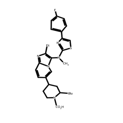 CCc1nc2ccc(C3CCN(C(=O)O)C(C(C)(C)C)C3)cn2c1N(C)c1nc(-c2ccc(F)cc2)cs1